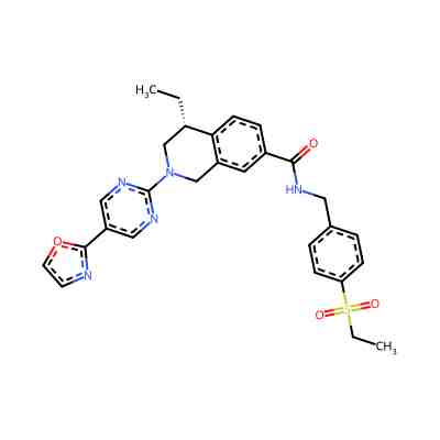 CC[C@H]1CN(c2ncc(-c3ncco3)cn2)Cc2cc(C(=O)NCc3ccc(S(=O)(=O)CC)cc3)ccc21